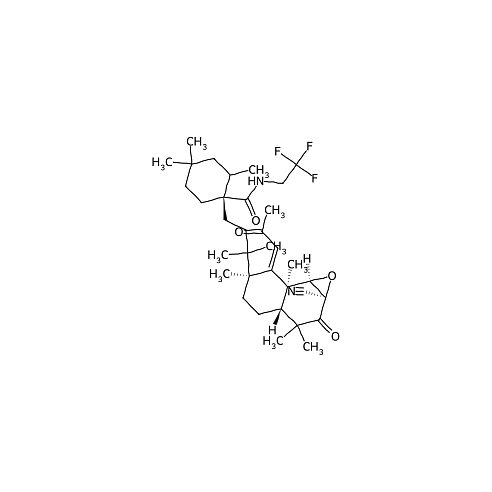 CC(=O)/C=C1/[C@@]2(C)[C@H]3O[C@@]3(C#N)C(=O)C(C)(C)[C@@H]2CC[C@@]1(C)C(C)(C)CC[C@@]1(C(=O)NCC(F)(F)F)CCC(C)(C)CC1C